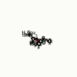 CC(C)(C)OC(=O)N1C[C@H](CO[Si](C)(C)C(C)(C)C)C[C@H]1COc1c(F)c(F)cc2c(=O)c(C(=O)OCc3ccccc3)cn(C3CC3)c12